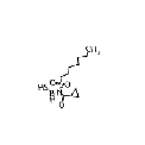 CCCCCCCS(=O)(=O)N(BS)C(=O)C1CC1